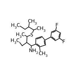 CCC(C)C(C)SC(C)C(CC)C(N)c1ccc(-c2cc(F)cc(F)c2)cc1C